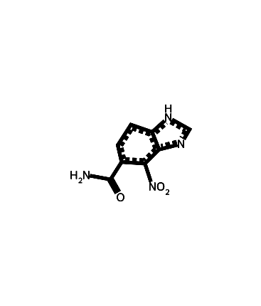 NC(=O)c1ccc2[nH]cnc2c1[N+](=O)[O-]